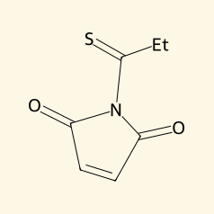 CCC(=S)N1C(=O)C=CC1=O